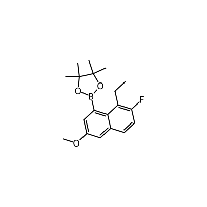 CCc1c(F)ccc2cc(OC)cc(B3OC(C)(C)C(C)(C)O3)c12